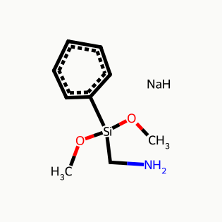 CO[Si](CN)(OC)c1ccccc1.[NaH]